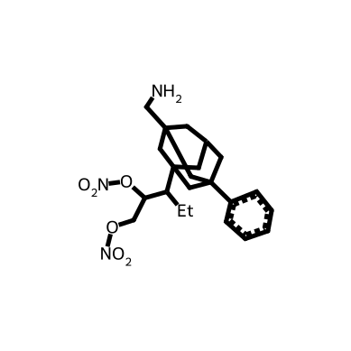 CCC(C(CO[N+](=O)[O-])O[N+](=O)[O-])C12CC3CC(CN)(CC(c4ccccc4)(C3)C1)C2